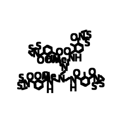 COc1c(C(=O)NCCN(CCNC(=O)c2cccc(C(=O)N3CCSC3=S)c2C)CCN(CCNC(=O)c2cccc(C(=O)N3CCSC3=S)c2C)CCNC(=O)c2cccc(C(=O)N3CCSC3=S)c2OC)cccc1C(=O)N1CCSC1=S